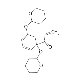 C=CC(=O)C1(OC2CCCCO2)C=CC=C(OC2CCCCO2)C1